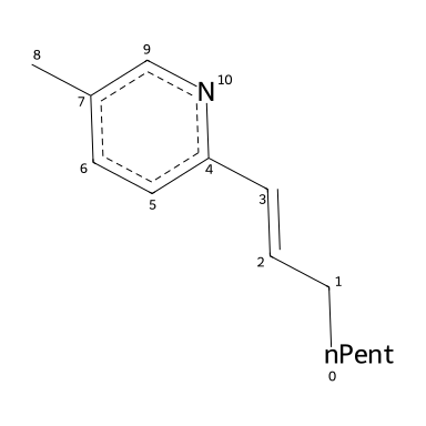 CCCCCCC=Cc1ccc(C)cn1